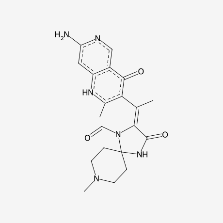 C/C(=C1\C(=O)NC2(CCN(C)CC2)N1C=O)c1c(C)[nH]c2cc(N)ncc2c1=O